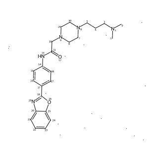 CN(C)CCCN1CCN(CC(=O)Nc2ccc(-c3nc4ccccc4o3)cc2)CC1